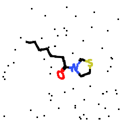 CCCCCCC(=O)N1CCSC1